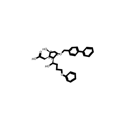 O=C(O)C[C@@H]1[C@H](C(O)CCCOc2ccccc2)[C@H](OCc2ccc(-c3ccccc3)cc2)C[C@@H]1O